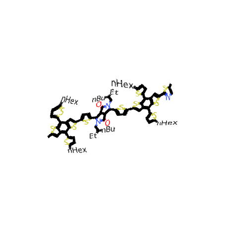 CCCCCCc1ccc(-c2c3cc(-c4ccc(C5=C6C(=O)N(CC(CC)CCCC)C(c7ccc(-c8cc9c(-c%10ccc(CCCCCC)s%10)c%10sc(-c%11ncc(C)s%11)cc%10c(-c%10ccc(CCCCCC)s%10)c9s8)s7)=C6C(=O)N5CC(CC)CCCC)s4)sc3c(-c3ccc(CCCCCC)s3)c3cc(C)sc23)s1